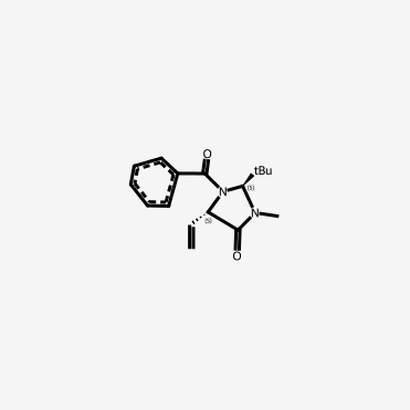 C=C[C@H]1C(=O)N(C)[C@H](C(C)(C)C)N1C(=O)c1ccccc1